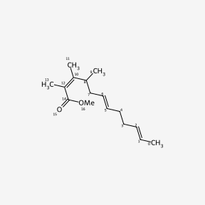 CC=CCCC=CCC(C)C(C)=C(C)C(=O)OC